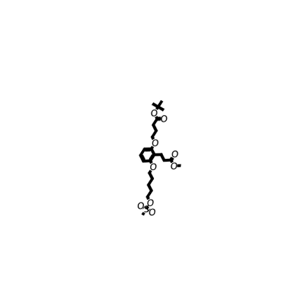 COC(=O)CCc1c(OCCCCCOS(C)(=O)=O)cccc1OCCCC(=O)OC(C)(C)C